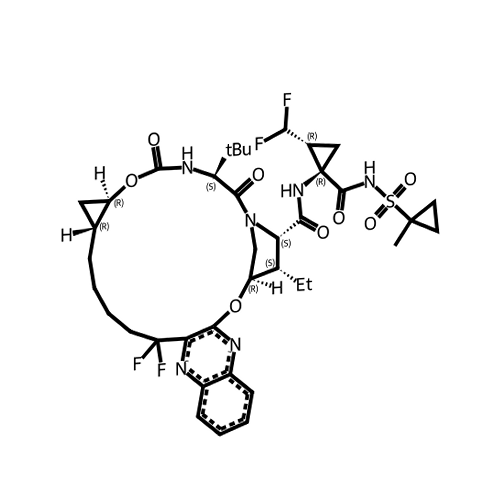 CC[C@@H]1[C@@H]2CN(C(=O)[C@H](C(C)(C)C)NC(=O)O[C@@H]3C[C@H]3CCCCC(F)(F)c3nc4ccccc4nc3O2)[C@@H]1C(=O)N[C@]1(C(=O)NS(=O)(=O)C2(C)CC2)C[C@H]1C(F)F